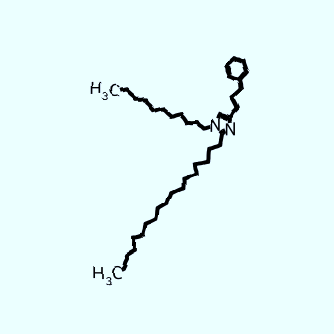 CCCCCCCCCCCCCCCCCCc1nc(CCCc2ccccc2)cn1CCCCCCCCCCC